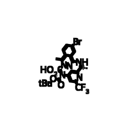 Cc1nnc(N[C@H](C)c2cc(N(C(=O)O)C(=O)OC(C)(C)C)cc(C(F)(F)F)n2)c2cc(Br)ccc12